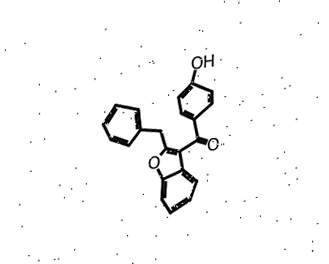 O=C(c1ccc(O)cc1)c1c(Cc2ccccc2)oc2ccccc12